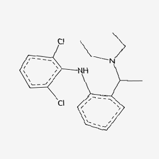 CCN(CC)C(C)c1ccccc1Nc1c(Cl)cccc1Cl